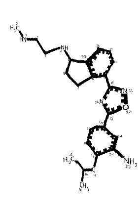 CNCCNC1CCc2c(-c3noc(-c4ccc(OC(C)C)c(N)c4)n3)cccc21